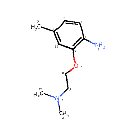 Cc1ccc(N)c(OCCN(C)C)c1